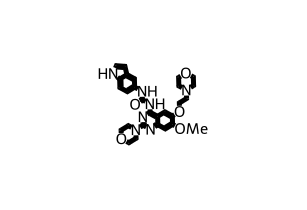 COc1cc2nc(N3CCOCC3)nc(NC(=O)Nc3ccc4[nH]ccc4c3)c2cc1OCCN1CCOCC1